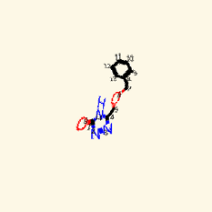 O=C1N=NC(COCc2ccccc2)N1